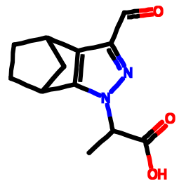 CC(C(=O)O)n1nc(C=O)c2c1C1CCC2C1